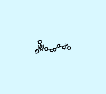 CC1(C)C2=C(C=CCC2)c2ccc(-c3cccc(-c4ccc5ccc(-c6ccc(-c7nc(-c8ccccc8)nc(-c8ccccc8)n7)cc6)cc5c4)c3)cc21